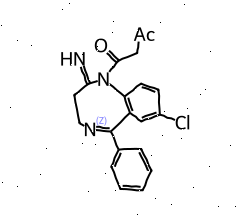 CC(=O)CC(=O)N1C(=N)CC/N=C(/c2ccccc2)c2cc(Cl)ccc21